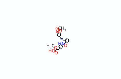 CCOC(Cc1ccc(NC(=O)c2ccccc2C/C=C/c2ccc(OS(C)(=O)=O)cc2)cc1)C(=O)O